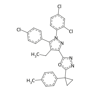 CCc1c(-c2nnc(C3(c4ccc(C)cc4)CC3)o2)nn(-c2ccc(Cl)cc2Cl)c1-c1ccc(Cl)cc1